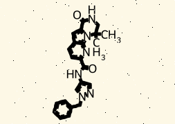 CC1(C)CNC(=O)c2cc3ccc(C(=O)Nc4cnn(Cc5ccccc5)c4)nc3n21